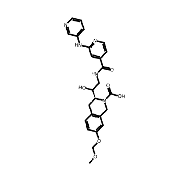 COCOc1ccc2c(c1)CN(C(=O)O)[C@H](C(O)CNC(=O)c1ccnc(Nc3cccnc3)c1)C2